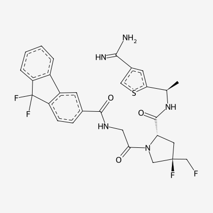 C[C@@H](NC(=O)[C@@H]1C[C@](F)(CF)CN1C(=O)CNC(=O)c1ccc2c(c1)-c1ccccc1C2(F)F)c1cc(C(=N)N)cs1